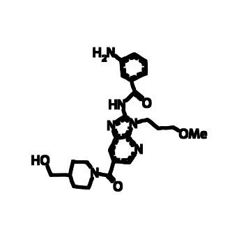 COCCCn1c(NC(=O)c2cccc(N)c2)nc2cc(C(=O)N3CCC(CO)CC3)cnc21